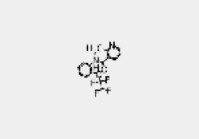 Cc1ncccc1C(=O)Nc1ccccc1OC(F)(F)C(F)F